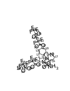 NS(=O)(=O)N1CCC1(c1ccccc1)N1C=CC=NC1.O=C([O-])C(F)(F)F.O=C([O-])C(F)(F)F.O=C([O-])C(F)(F)F.O=C([O-])C(F)(F)F.[Sn+4]